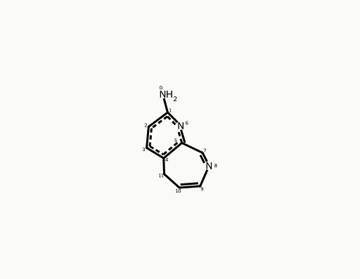 Nc1ccc2c(n1)C=NC=CC2